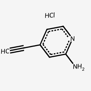 C#Cc1ccnc(N)c1.Cl